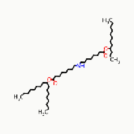 CCCCCCCCC(CCC)OC(=O)CCCCCCCNCCCCCCCC(=O)OC(CCCCCCCC)CCCCCCCC